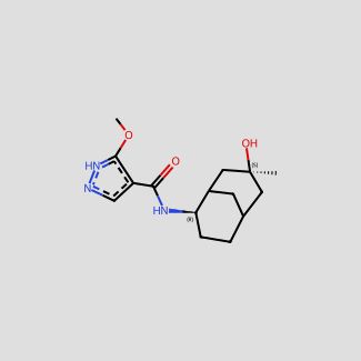 COc1[nH]ncc1C(=O)N[C@@H]1CCC2CC1C[C@@](C)(O)C2